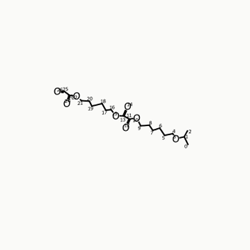 CC(C)OCCCCCCOC(=O)C(=O)OCCCCCCOC(=O)C=O